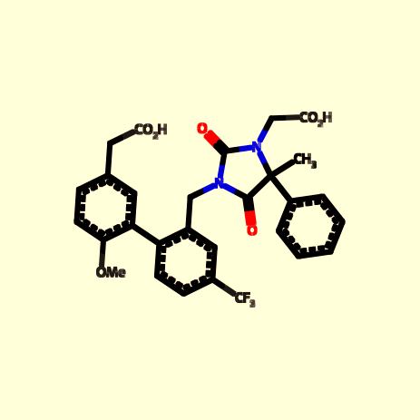 COc1ccc(CC(=O)O)cc1-c1ccc(C(F)(F)F)cc1CN1C(=O)N(CC(=O)O)C(C)(c2ccccc2)C1=O